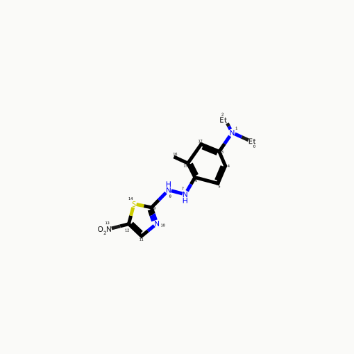 CCN(CC)c1ccc(NNc2ncc([N+](=O)[O-])s2)c(C)c1